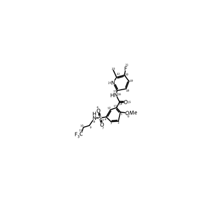 COc1ccc(S(=O)(=O)NCCC(F)(F)F)cc1C(=O)Nc1ccc(F)c(C)n1